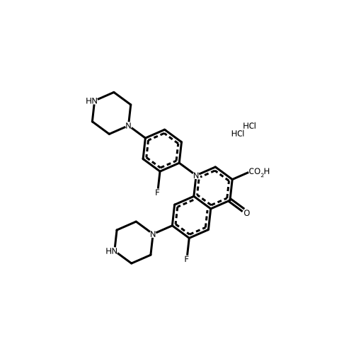 Cl.Cl.O=C(O)c1cn(-c2ccc(N3CCNCC3)cc2F)c2cc(N3CCNCC3)c(F)cc2c1=O